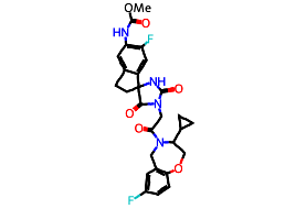 COC(=O)Nc1cc2c(cc1F)C1(CC2)NC(=O)N(CC(=O)N2Cc3cc(F)ccc3OCC2C2CC2)C1=O